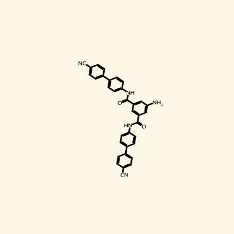 N#Cc1ccc(-c2ccc(NC(=O)c3cc(N)cc(C(=O)Nc4ccc(-c5ccc(C#N)cc5)cc4)c3)cc2)cc1